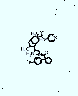 CC1CC2CC(CC(C)(C(=O)Nc3ccncc3)C2)C1C(N)CNC(=O)C1(c2ccc(F)cc2)CCCC1